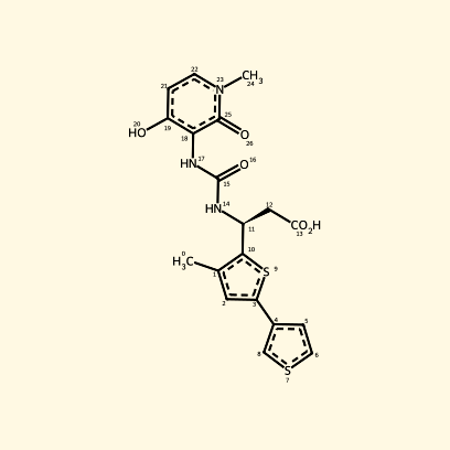 Cc1cc(-c2ccsc2)sc1[C@H](CC(=O)O)NC(=O)Nc1c(O)ccn(C)c1=O